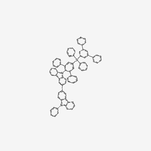 c1ccc(-c2cc(-c3ccccc3)cc([Si](c3ccccc3)(c3ccccc3)c3cc(-c4ccccc4)c(-n4c5ccccc5c5cc(-c6ccc7c(c6)c6ccccc6n7-c6ccccc6)ccc54)c(-c4ccccc4)c3)c2)cc1